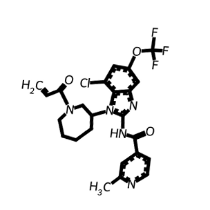 C=CC(=O)N1CCCCC(n2c(NC(=O)c3ccnc(C)c3)nc3cc(OC(F)(F)F)cc(Cl)c32)C1